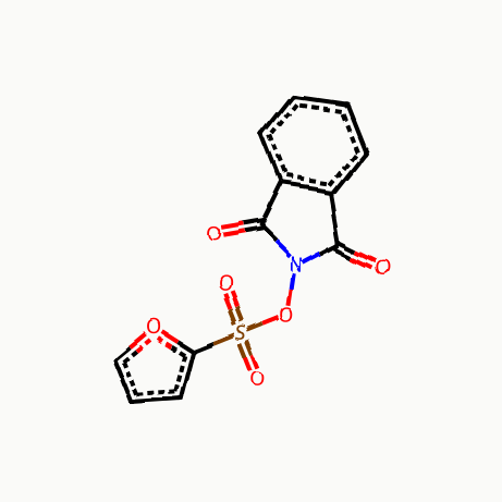 O=C1c2ccccc2C(=O)N1OS(=O)(=O)c1ccco1